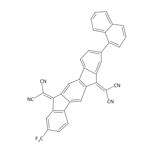 N#CC(C#N)=C1c2cc(-c3cccc4ccccc34)ccc2-c2cc3c(cc21)-c1ccc(C(F)(F)F)cc1C3=C(C#N)C#N